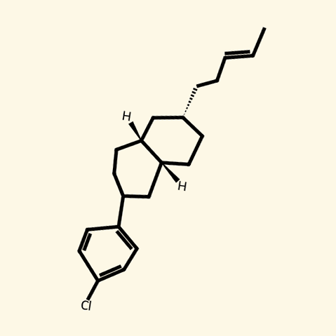 CC=CCC[C@@H]1CC[C@@H]2CC(c3ccc(Cl)cc3)CC[C@@H]2C1